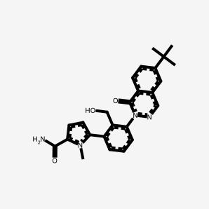 Cn1c(C(N)=O)ccc1-c1cccc(-n2ncc3cc(C(C)(C)C)ccc3c2=O)c1CO